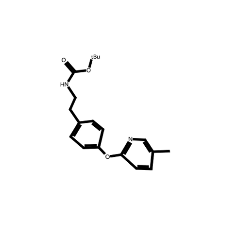 Cc1ccc(Oc2ccc(CCNC(=O)OC(C)(C)C)cc2)nc1